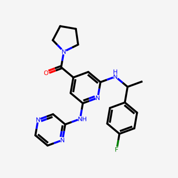 CC(Nc1cc(C(=O)N2CCCC2)cc(Nc2cnccn2)n1)c1ccc(F)cc1